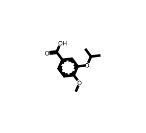 COc1ccc(C(=O)O)cc1OC(C)C